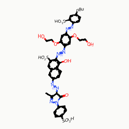 CCCCc1ccc(/N=N/c2cc(OCCO)c(/N=N/c3c(S(=O)(=O)O)cc4cc(/N=N/C5C(=O)N(c6ccc(S(=O)(=O)O)cc6)N=C5C)ccc4c3O)cc2OCCO)c(S(=O)(=O)O)c1